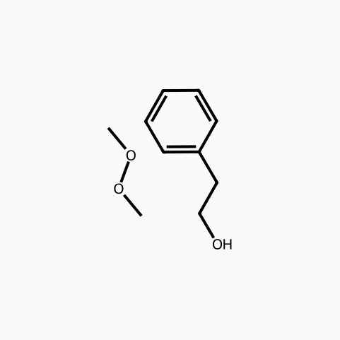 COOC.OCCc1ccccc1